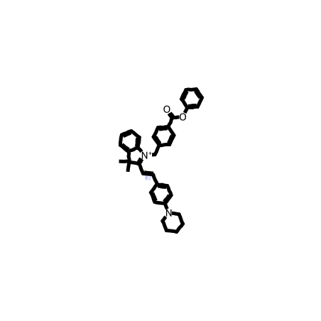 CC1(C)C(/C=C/c2ccc(N3CCCCC3)cc2)=[N+](Cc2ccc(C(=O)Oc3ccccc3)cc2)c2ccccc21